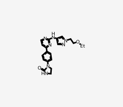 CCOCCn1cc(Nc2nccc(-c3ccc(N4CCNC4=O)cc3)n2)cn1